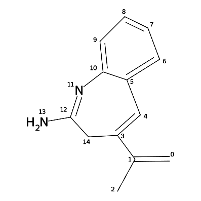 C=C(C)C1=Cc2ccccc2N=C(N)C1